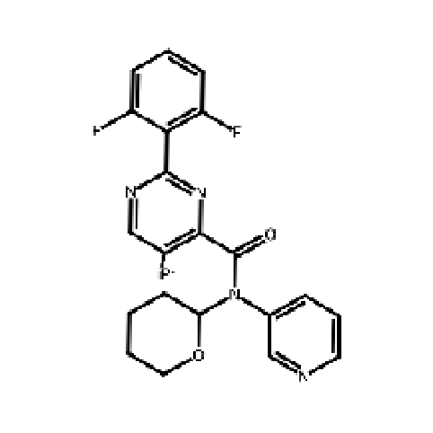 CC(C)c1cnc(-c2c(F)cccc2F)nc1C(=O)N(c1cccnc1)C1CCCCO1